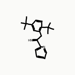 CC(C)(C)c1ccc(C(C)(C)C)c(CC(=N)c2ccccn2)c1